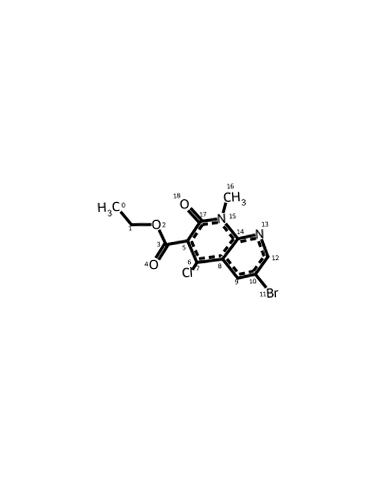 CCOC(=O)c1c(Cl)c2cc(Br)cnc2n(C)c1=O